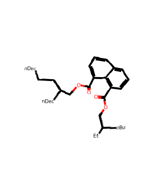 CCCCCCCCCCCCC(CCCCCCCCCC)COC(=O)c1cccc2cccc(C(=O)OCC(CC)CCCC)c12